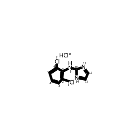 Cl.Clc1cccc(Cl)c1NC1N=CC=N1